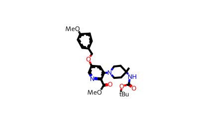 COC(=O)c1ncc(OCc2ccc(OC)cc2)cc1N1CCC(C)(NC(=O)OC(C)(C)C)CC1